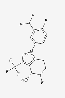 O[C@@H]1c2c(C(F)(F)F)cn(-c3ccc(F)c(C(F)F)c3)c2CCC1F